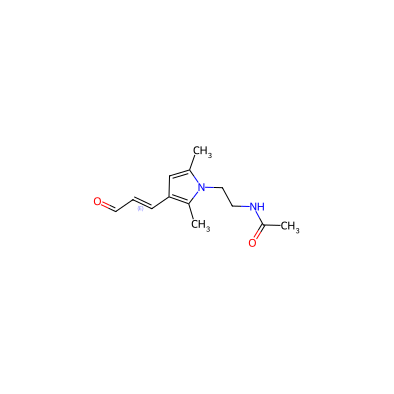 CC(=O)NCCn1c(C)cc(/C=C/C=O)c1C